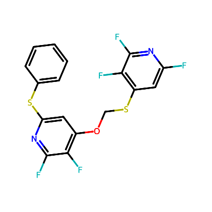 Fc1cc(SCOc2cc(Sc3ccccc3)nc(F)c2F)c(F)c(F)n1